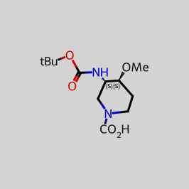 CO[C@H]1CCN(C(=O)O)C[C@@H]1NC(=O)OC(C)(C)C